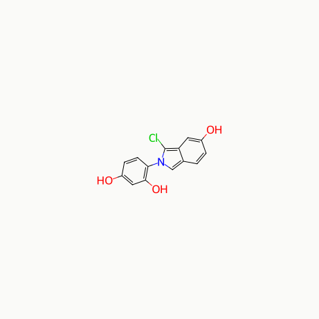 Oc1ccc(-n2cc3ccc(O)cc3c2Cl)c(O)c1